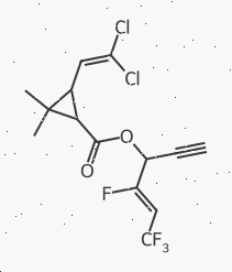 C#CC(OC(=O)C1C(C=C(Cl)Cl)C1(C)C)C(F)=CC(F)(F)F